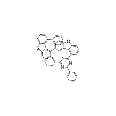 c1ccc(-c2nc(-c3ccccc3)nc(-c3cccc4oc5ccc(-c6cccc7sc8cccc(-c9ccccc9)c8c67)cc5c34)n2)cc1